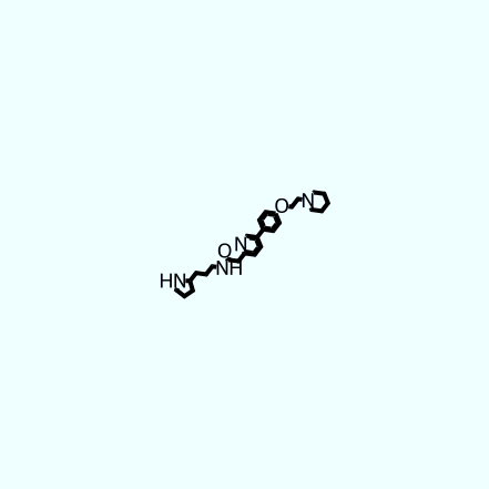 O=C(Cc1ccc(-c2ccc(OCCN3CCCCC3)cc2)cn1)NCCCC1CCCN1